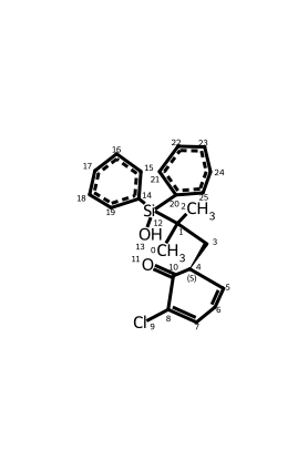 CC(C)(C[C@H]1C=CC=C(Cl)C1=O)[Si](O)(c1ccccc1)c1ccccc1